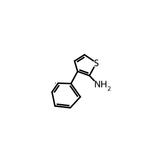 Nc1sccc1-c1[c]cccc1